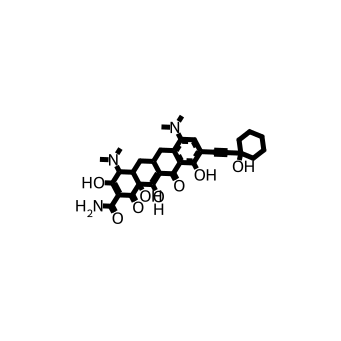 CN(C)c1cc(C#CC2(O)CCCCC2)c(O)c2c1CC1CC3C(N(C)C)C(O)=C(C(N)=O)C(=O)C3(O)C(O)=C1C2=O